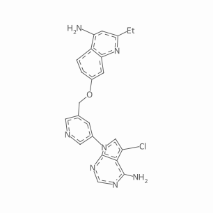 CCc1cc(N)c2ccc(OCc3cncc(-n4cc(Cl)c5c(N)ncnc54)c3)cc2n1